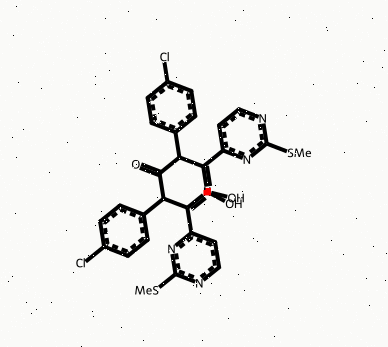 CSc1nccc(C(=NO)C(C(=O)C(C(=NO)c2ccnc(SC)n2)c2ccc(Cl)cc2)c2ccc(Cl)cc2)n1